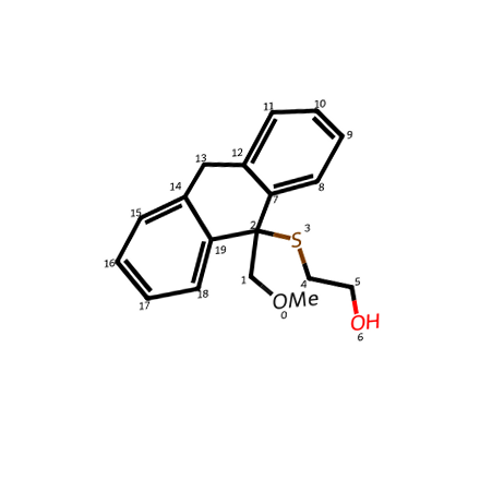 COCC1(SCCO)c2ccccc2Cc2ccccc21